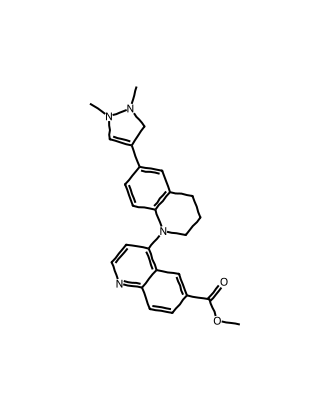 COC(=O)c1ccc2nccc(N3CCCc4cc(C5=CN(C)N(C)C5)ccc43)c2c1